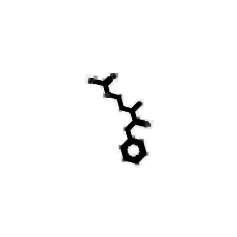 CC(C)C(=O)OCCC(C)C(=O)Cc1ccccc1